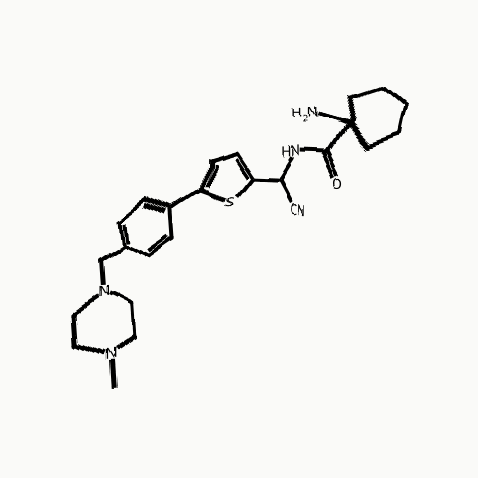 CN1CCN(Cc2ccc(-c3ccc(C(C#N)NC(=O)C4(N)CCCCC4)s3)cc2)CC1